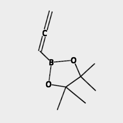 C=C=CB1OC(C)(C)C(C)(C)O1